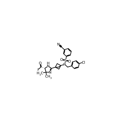 CC1(C)N=C(C23CC(N(Cc4ccc(Cl)cc4)S(=O)(=O)c4cccc(C#N)c4)(C2)C3)N[C@H]1C(=O)I